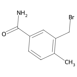 Cc1ccc(C(N)=O)cc1CBr